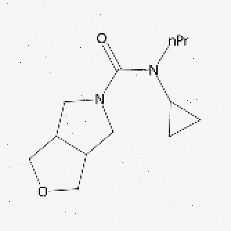 CCCN(C(=O)N1CC2COCC2C1)C1CC1